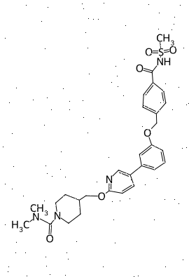 CN(C)C(=O)N1CCC(COc2ccc(-c3cccc(OCc4ccc(C(=O)NS(C)(=O)=O)cc4)c3)cn2)CC1